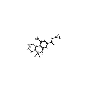 CC(CC1CC1)c1cc(O)c2c(c1)OC(C)(C)C1=C2CNCC1